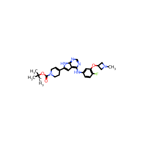 CN1CC(Oc2cc(Nc3ncnc4[nH]c(C5=CCN(C(=O)OC(C)(C)C)CC5)cc34)ccc2F)C1